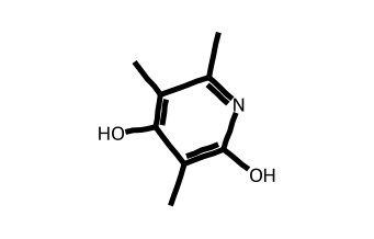 Cc1nc(O)c(C)c(O)c1C